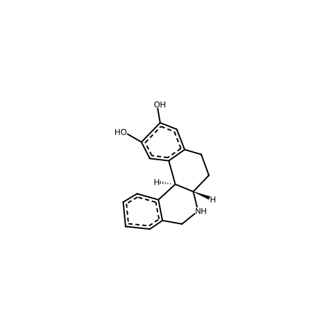 Oc1cc2c(cc1O)[C@@H]1c3ccccc3CN[C@H]1CC2